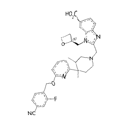 CC1CN(Cc2nc3ccc(C(=O)O)cc3n2C[C@@H]2CCO2)CCC1(C)c1cccc(OCc2ccc(C#N)cc2F)n1